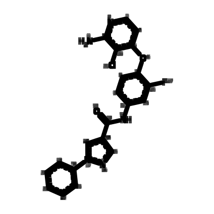 Nc1nccc(Oc2ccc(NC(=O)c3cnn(-c4ccccc4)c3)cc2F)c1Cl